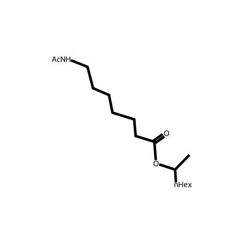 CCCCCCC(C)OC(=O)CCCCCCNC(C)=O